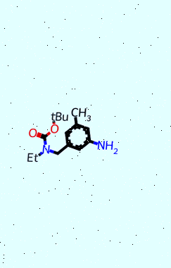 CCN(Cc1cc(C)cc(N)c1)C(=O)OC(C)(C)C